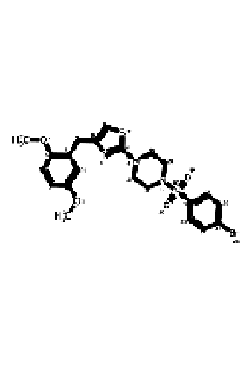 COc1ccc(OC)c(Cc2csc(N3CCN(S(=O)(=O)c4ccc(Br)cc4)CC3)n2)c1